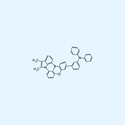 Cc1c(C)n2c3c(cccc13)B1c3ccc(-c4cccc(N(c5ccccc5)c5ccccc5)c4)cc3Oc3cccc-2c31